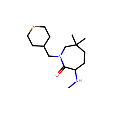 CNC1CCC(C)(C)CN(CC2CCSCC2)C1=O